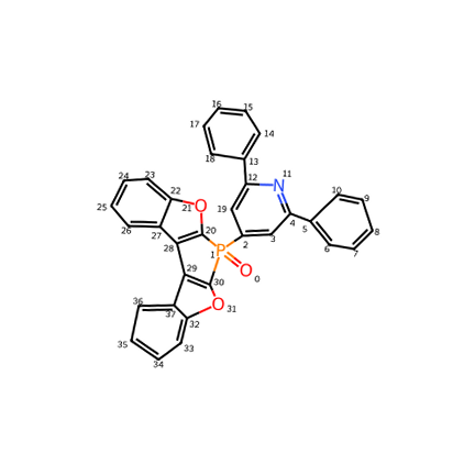 O=P1(c2cc(-c3ccccc3)nc(-c3ccccc3)c2)c2oc3ccccc3c2-c2c1oc1ccccc21